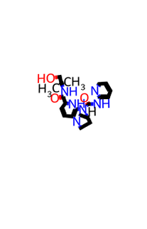 CC(C)(CO)NC(=O)C1C=CC2=C(N1)N(C(=O)Nc1ccccn1)[C@H]1CCN2C1